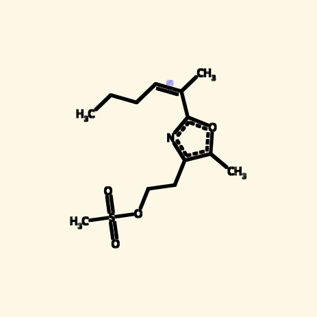 CCC/C=C(/C)c1nc(CCOS(C)(=O)=O)c(C)o1